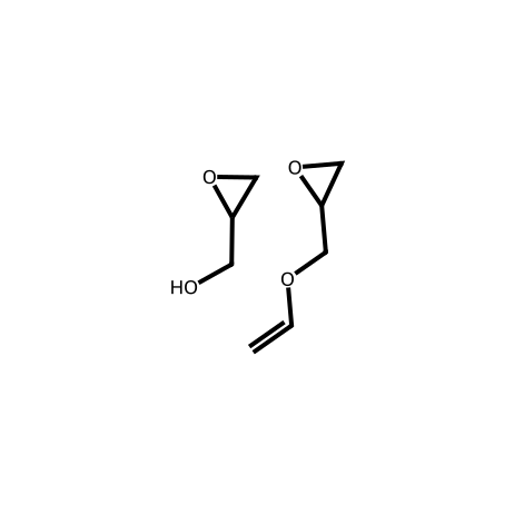 C=COCC1CO1.OCC1CO1